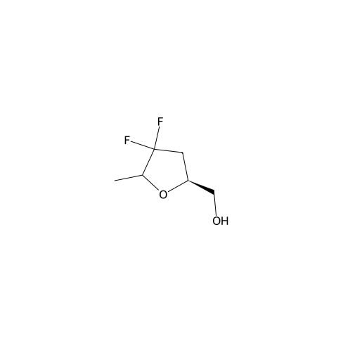 CC1O[C@H](CO)CC1(F)F